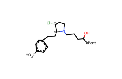 CCCCCC(O)CCCN1CC[C@@H](Cl)[C@@H]1CCc1ccc(C(=O)O)cc1